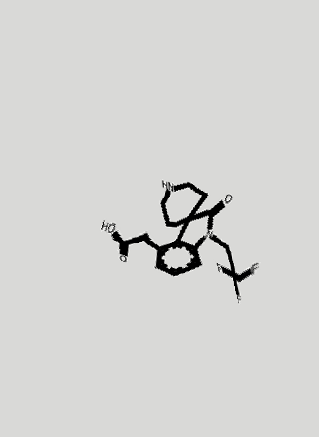 O=C(O)Cc1cccc2c1C1(CCNCC1)C(=O)N2CC(F)(F)F